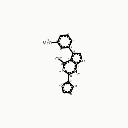 COc1cccc(-c2csc3nc(-c4cccs4)nc(Cl)c23)c1